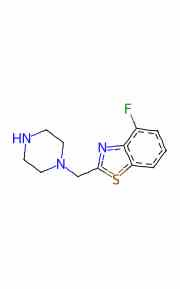 Fc1cccc2sc(CN3CCNCC3)nc12